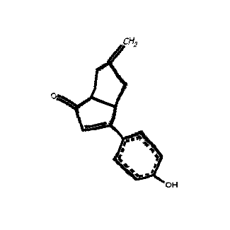 C=C1CC2C(=O)C=C(c3ccc(O)cc3)C2C1